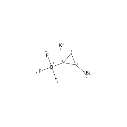 CC(C)(C)C1CC1[B-](F)(F)F.[K+]